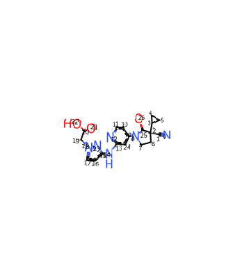 N#C[C@@]1(C2CC2)CCN(c2ccnc(Nc3ccn(CC(=O)O)n3)c2)C1=O